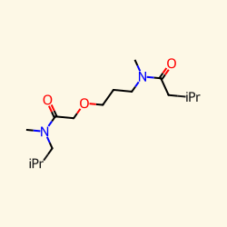 CC(C)CC(=O)N(C)CCCOCC(=O)N(C)CC(C)C